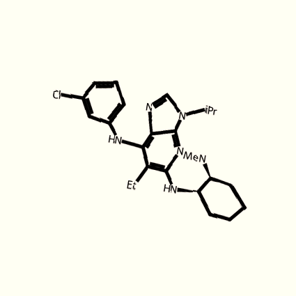 CCc1c(N[C@@H]2CCCC[C@@H]2NC)nc2c(ncn2C(C)C)c1Nc1cccc(Cl)c1